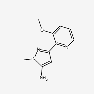 COc1cccnc1-c1cc(N)n(C)n1